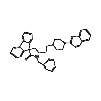 O=C(NCc1ccccn1)C1(CCCCN2CCN(c3ccc4ccccc4n3)CC2)c2ccccc2-c2ccccc21